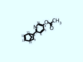 CC(=O)Oc1ccc(C2CC3C=CC2C3)nc1